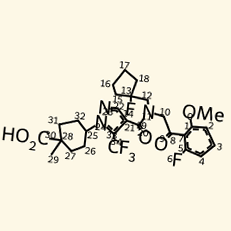 COc1cccc(F)c1C(=O)CN(CC1(F)CCCC1)C(=O)c1cnn(C2CCC(C)(C(=O)O)CC2)c1C(F)(F)F